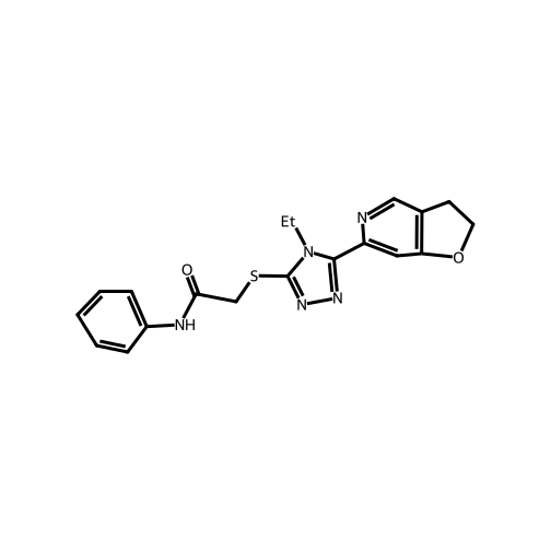 CCn1c(SCC(=O)Nc2ccccc2)nnc1-c1cc2c(cn1)CCO2